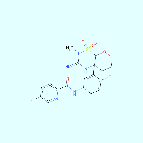 CN1C(=N)N[C@@]2(C3=CC(NC(=O)c4ccc(F)cn4)CC=C3F)CCCOC2S1(=O)=O